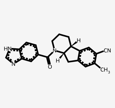 Cc1cc2c(cc1C#N)[C@H]1CCCN(C(=O)c3ccc4[nH]cnc4c3)[C@H]1C2